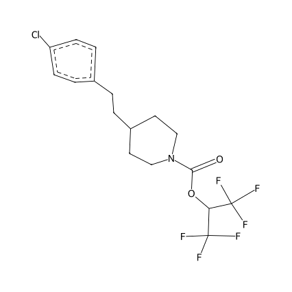 O=C(OC(C(F)(F)F)C(F)(F)F)N1CCC(CCc2ccc(Cl)cc2)CC1